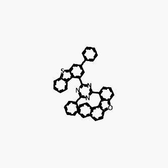 c1ccc(-c2cc(-c3nc(-c4ccccc4)nc(-c4cccc5oc6ccc7ccccc7c6c45)n3)c3c(c2)sc2ccccc23)cc1